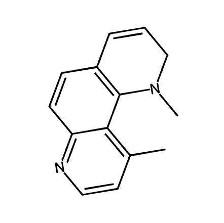 Cc1ccnc2ccc3c(c12)N(C)CC=C3